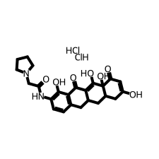 Cl.Cl.O=C(CN1CCCC1)Nc1ccc2c(c1O)C(=O)C1=C(O)C3(O)C(=O)C=C(O)CC3CC1C2